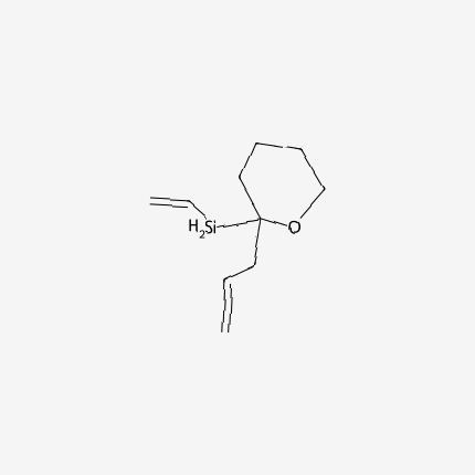 C=CCC1([SiH2]C=C)CCCCO1